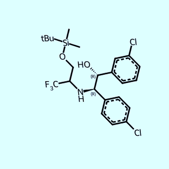 CC(C)(C)[Si](C)(C)OCC(N[C@H](c1ccc(Cl)cc1)[C@H](O)c1cccc(Cl)c1)C(F)(F)F